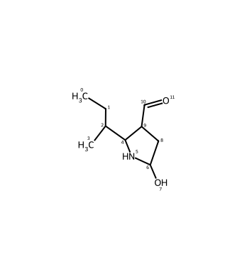 CCC(C)C1NC(O)CC1C=O